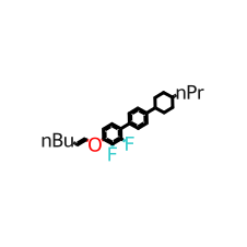 CCCC/C=C/Oc1ccc(-c2ccc(C3CCC(CCC)CC3)cc2)c(F)c1F